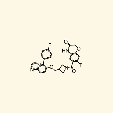 O=C1COc2cc(F)c(C(=O)N3CC(COc4ccc5nccn5c4-c4ccc(F)cc4)C3)cc2N1